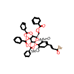 COc1cc(C=CC(=O)Br)cc(OC)c1O[C@H]1O[C@H](COC(=O)c2ccccc2)[C@@H](OC(=O)c2ccccc2)[C@H](OC(=O)c2ccccc2)[C@@H]1OC(=O)c1ccccc1